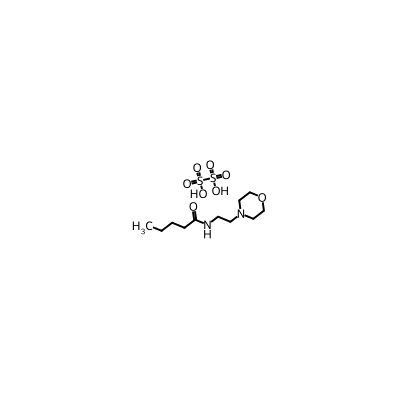 CCCCC(=O)NCCN1CCOCC1.O=S(=O)(O)S(=O)(=O)O